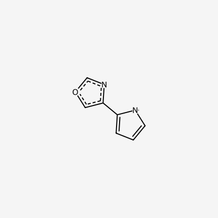 C1=C[N]C(c2cocn2)=C1